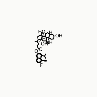 C#Cc1c(F)ccc2cc(OC(=O)CC[C@@H](C)[C@H]3CC[C@H]4[C@H]5C(C(=N)[C@H](O)[C@]34C)[C@@]3(C)CC[C@@H](O)C[C@H]3C[C@H]5O)cc(C(C)C)c12